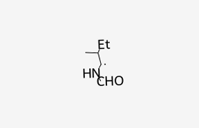 CCC(C)[CH]NC=O